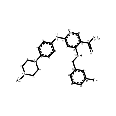 CC(=O)N1CCN(c2ccc(Nc3cc(NCc4cccc(F)c4)c(C(N)=O)cn3)cc2)CC1